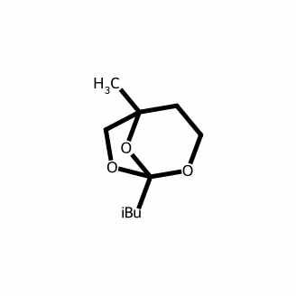 CCC(C)C12OCCC(C)(CO1)O2